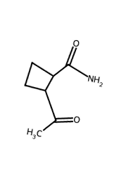 CC(=O)C1CCC1C(N)=O